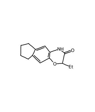 CCC1Oc2cc3c(cc2NC1=O)CCCC3